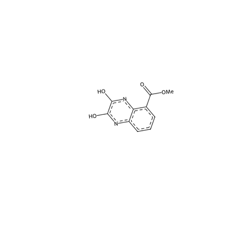 COC(=O)c1cccc2nc(O)c(O)nc12